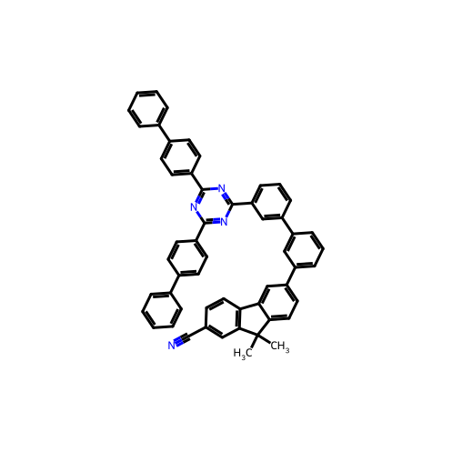 CC1(C)c2ccc(-c3cccc(-c4cccc(-c5nc(-c6ccc(-c7ccccc7)cc6)nc(-c6ccc(-c7ccccc7)cc6)n5)c4)c3)cc2-c2ccc(C#N)cc21